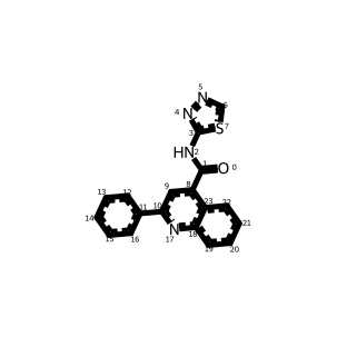 O=C(Nc1nncs1)c1cc(-c2ccccc2)nc2ccccc12